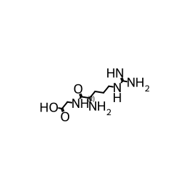 N=C(N)NCCC[C@@H](N)C(=O)NCC(=O)O